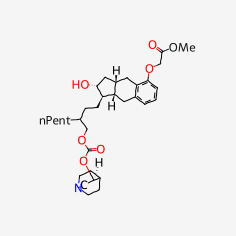 CCCCCC(CC[C@@H]1[C@H]2Cc3cccc(OCC(=O)OC)c3C[C@H]2C[C@H]1O)COC(=O)O[C@@H]1CN2CCC1CC2